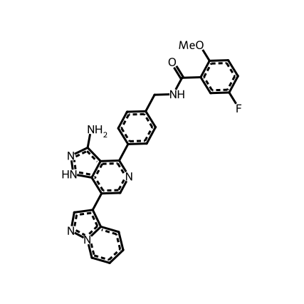 COc1ccc(F)cc1C(=O)NCc1ccc(-c2ncc(-c3cnn4ccccc34)c3[nH]nc(N)c23)cc1